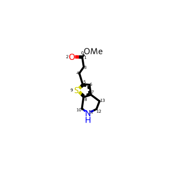 COC(=O)CCc1cc2c(s1)CNCC2